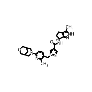 Cc1nc(N2CC3COCC(C3)C2)ccc1Cn1cc(C(=O)N[C@@H]2CCc3c2n[nH]c3C)cn1